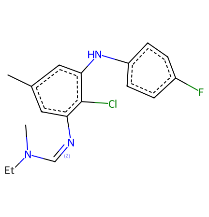 CCN(C)/C=N\c1cc(C)cc(Nc2ccc(F)cc2)c1Cl